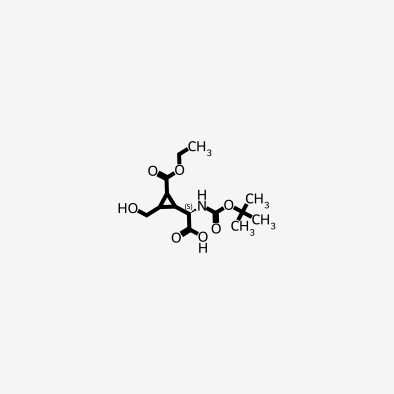 CCOC(=O)C1C(CO)C1[C@H](NC(=O)OC(C)(C)C)C(=O)O